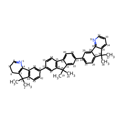 CC1(C)C2=C(N=CCC2)c2cc(-c3ccc4c(c3)C(C)(C)c3cc(-c5ccc6c(c5)-c5ncccc5C6(C)C)ccc3-4)ccc21